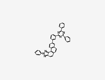 c1ccc(-c2nc(-c3ccccc3)nc(-c3cccc(-c4ccc5c(ccc6ccc7nn(-c8ccccc8)nc7c65)c4)c3)n2)cc1